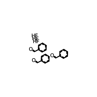 F.F.F.O=Cc1ccccc1.O=Cc1ccccc1.O=Cc1ccccc1